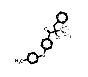 CCC(Cc1ccccc1)(C(=O)c1ccc(Sc2ccc(C)cc2)cc1)N(C)C